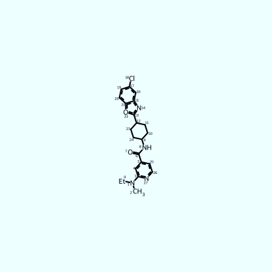 CCN(C)c1cc(C(=O)NC2CCC(c3nc4cc(Cl)ccc4o3)CC2)ccn1